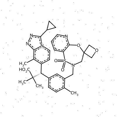 Cc1ccc([C@@H](c2ccn3c(C4CC4)nnc3c2C)C(C)(C)C(=O)O)cc1CN1CC2(COC2)Oc2ncccc2S1(=O)=O